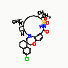 C[C@@H]1[C@@H](C)CCCC(C=O)[C@@H]2CC[C@H]2CN2C[C@@]3(CCCc4cc(Cl)ccc43)COc3ccc(cc32)C(=O)NS1(=O)=O